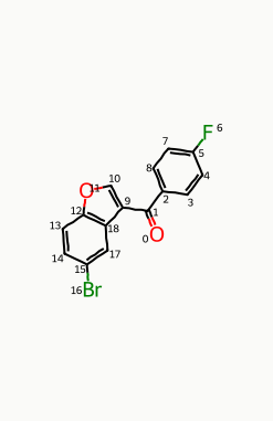 O=C(c1ccc(F)cc1)c1coc2ccc(Br)cc12